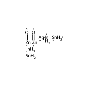 [Ag].[InH3].[InH3].[O]=[Zn].[O]=[Zn].[SnH2].[SnH2]